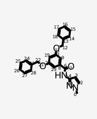 Cn1ccc(NC(=O)c2cc(OCc3ccccc3)cc(OCc3ccccc3)c2)n1